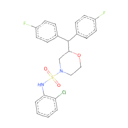 O=S(=O)(Nc1ccccc1Cl)N1CCOC(C(c2ccc(F)cc2)c2ccc(F)cc2)C1